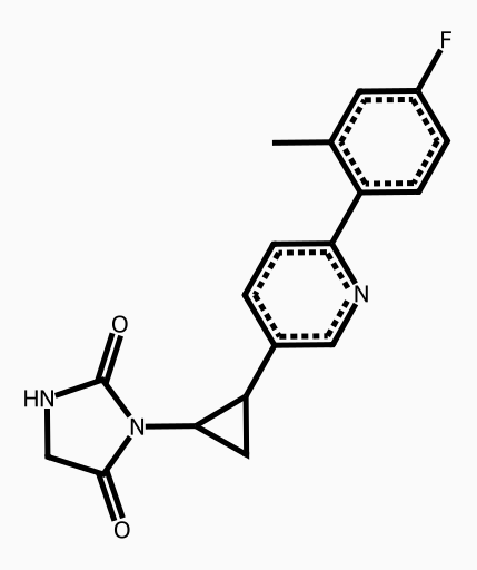 Cc1cc(F)ccc1-c1ccc(C2CC2N2C(=O)CNC2=O)cn1